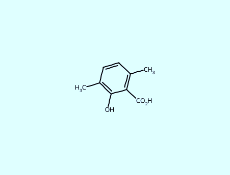 Cc1ccc(C)c(C(=O)O)c1O